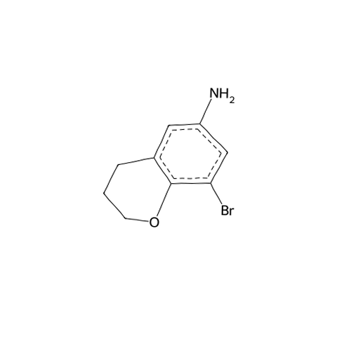 Nc1cc(Br)c2c(c1)CCCO2